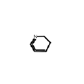 C1=C=NCCC=1